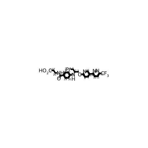 CC(C)CC(COc1ccc(-c2ccc(C(F)(F)F)nn2)cn1)Nc1ccc(C(=O)NCCC(=O)O)cc1